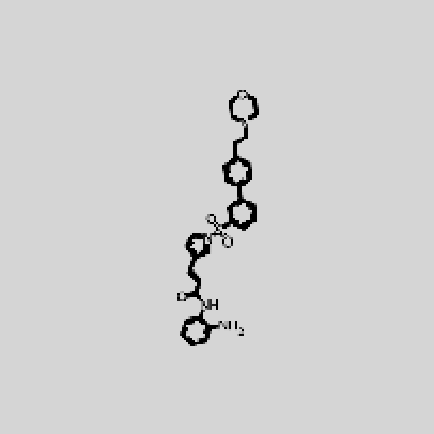 Nc1ccccc1NC(=O)C=Cc1ccn(S(=O)(=O)c2cccc(-c3ccc(CCN4CCOCC4)cc3)c2)c1